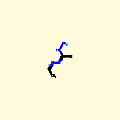 C/C=N\N=C(\CC)NN